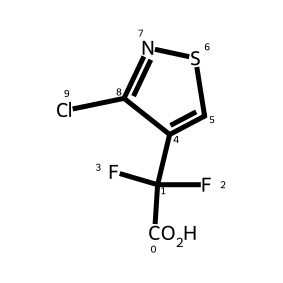 O=C(O)C(F)(F)c1csnc1Cl